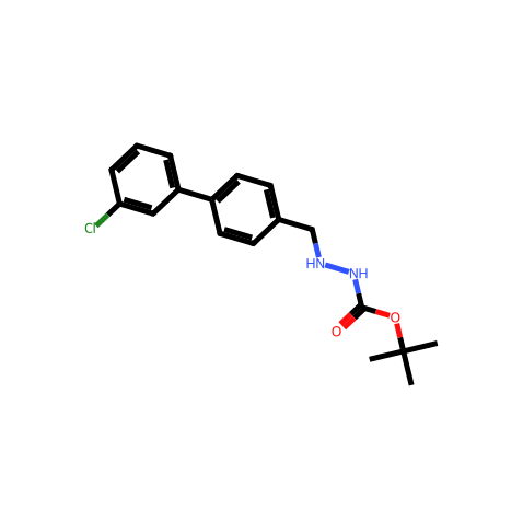 CC(C)(C)OC(=O)NNCc1ccc(-c2cccc(Cl)c2)cc1